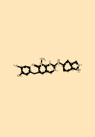 Cn1c(=O)c(Cc2ccc(F)c(Cl)c2)cc2cnc(Nc3ccc4[nH]ncc4c3)nc21